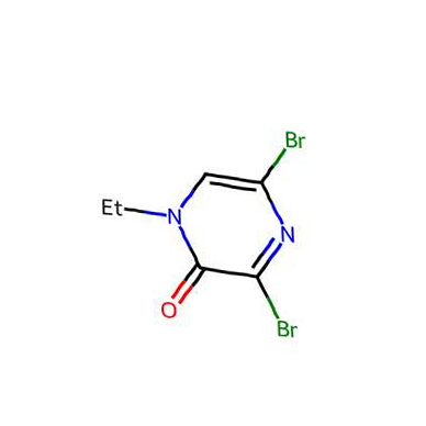 CCn1cc(Br)nc(Br)c1=O